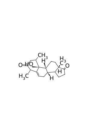 CC1C(=O)CC(C)[C@@]2(CO)C1=CC[C@@H]1[C@H]2CC[C@]2(C)C(=O)CC[C@@H]12